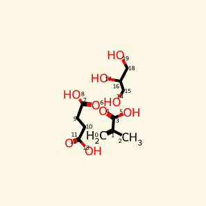 C=C(C)C(=O)O.O=C(O)CCC(=O)O.OCC(O)CO